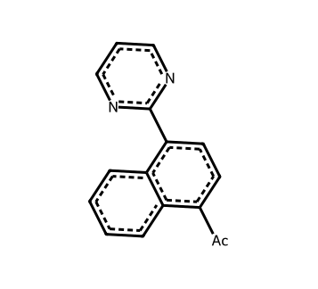 CC(=O)c1ccc(-c2ncccn2)c2ccccc12